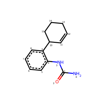 NC(=O)Nc1ccccc1C1C=CCCC1